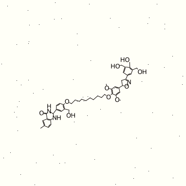 COc1cc(C2CC(c3cc(CO)c(CO)c(CO)c3)=NO2)cc(OC)c1OCCCCCCCCCCOc1ccc(C2NC(=O)c3cc(C)ccc3N2)cc1CO